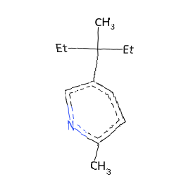 CCC(C)(CC)c1ccc(C)nc1